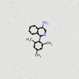 Cc1cc(C)c(-c2ncc(N)c3ccccc23)c(C)c1